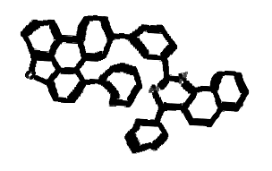 c1ccc(-c2nc(-c3cccc(-c4ccc5c(c4)c4c(-c6ccccc6)ccc6oc7cccc5c7c64)c3)nc3c2ccc2ccccc23)cc1